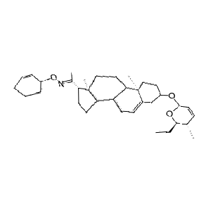 CC[C@H]1OC(OC2CC[C@@]3(C)C(=CCC4C3CC[C@@]3(C)C4CC[C@@H]3/C(C)=N/OC3C=CCCC3)C2)C=C[C@@H]1C